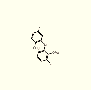 COc1c(Cl)cccc1Nc1cc(F)ccc1C(=O)O